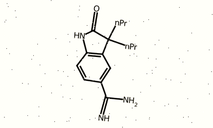 CCCC1(CCC)C(=O)Nc2ccc(C(=N)N)cc21